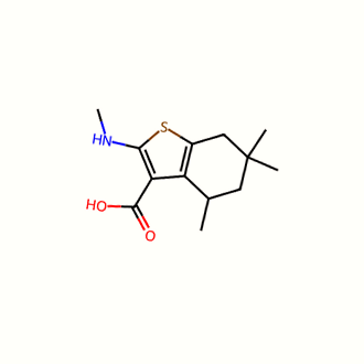 CNc1sc2c(c1C(=O)O)C(C)CC(C)(C)C2